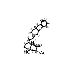 CC(=O)O[C@@H]1[CH][C@@]2(O)[C@H](C)CC[C@@H](C(C)CN3CCC(Cc4ccccc4)CC3)[C@H]2C=C1C